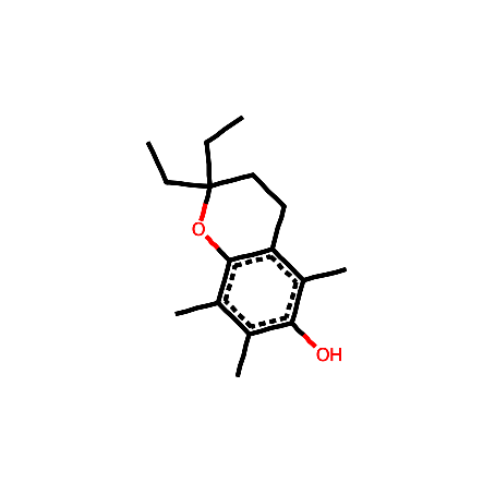 CCC1(CC)CCc2c(C)c(O)c(C)c(C)c2O1